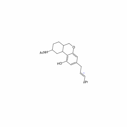 CCC/C=C/Cc1cc(O)c2c(c1)OCC1CCC(NC(C)=O)CC21